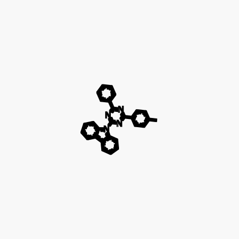 Cc1ccc(-c2nc(-c3ccccc3)nc(-n3c4ccccc4c4ccccc43)n2)cc1